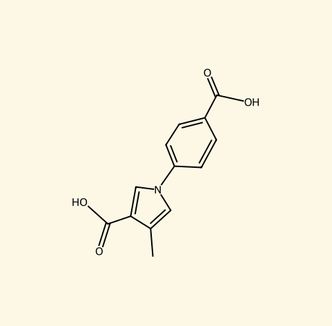 Cc1cn(-c2ccc(C(=O)O)cc2)cc1C(=O)O